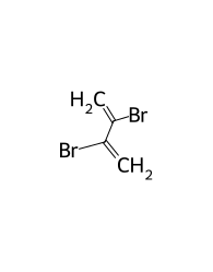 C=C(Br)C(=C)Br